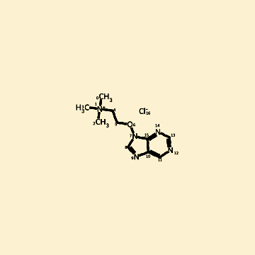 C[N+](C)(C)CCOn1cnc2cncnc21.[Cl-]